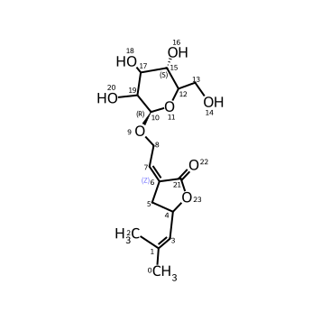 CC(C)=CC1C/C(=C/CO[C@@H]2OC(CO)[C@@H](O)C(O)C2O)C(=O)O1